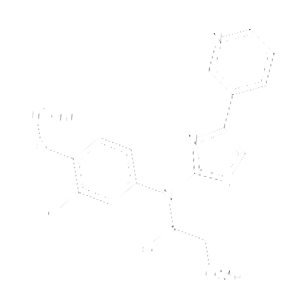 CCCCCOc1ccc(N(C(=O)COC)c2nc(-c3cccnc3)cs2)cc1C(F)(F)F